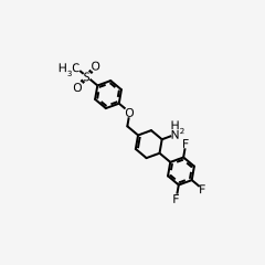 CS(=O)(=O)c1ccc(OCC2=CCC(c3cc(F)c(F)cc3F)C(N)C2)cc1